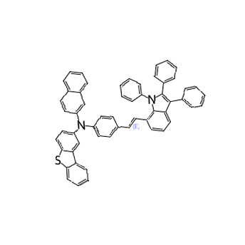 C(=C\c1cccc2c(-c3ccccc3)c(-c3ccccc3)n(-c3ccccc3)c12)/c1ccc(N(c2ccc3ccccc3c2)c2ccc3sc4ccccc4c3c2)cc1